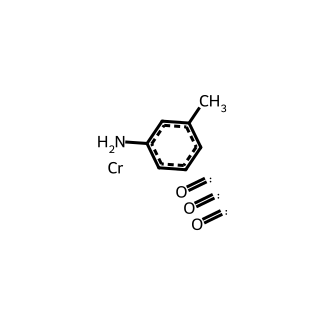 Cc1cccc(N)c1.[C]=O.[C]=O.[C]=O.[Cr]